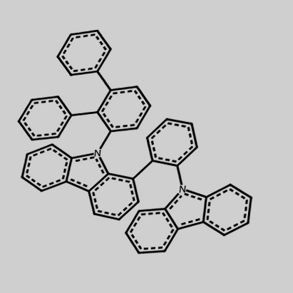 c1ccc(-c2cccc(-n3c4ccccc4c4cccc(-c5ccccc5-n5c6ccccc6c6ccccc65)c43)c2-c2ccccc2)cc1